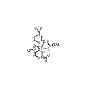 COc1ccc(C2(c3ccc(N(C)C)cc3)OC(=O)c3ccc(N(C)C)cc32)cc1